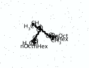 CCCCCCCCC(CCCCCC)C(=O)N(C)CC(=O)OCCCCCC1(CCCCCOC(=O)CN(C)C(=O)C(CCCCCC)CCCCCCCC)OCC(CCN(C)C)O1